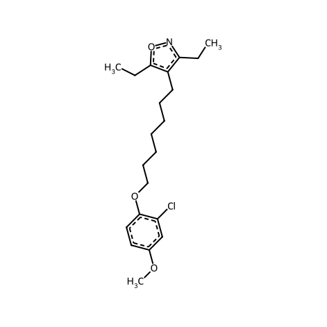 CCc1noc(CC)c1CCCCCCCOc1ccc(OC)cc1Cl